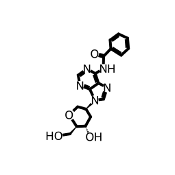 O=C(Nc1ncnc2c1ncn2[C@@H]1CO[C@H](CO)[C@@H](O)C1)c1ccccc1